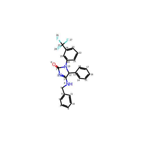 O=C1N=C(NCc2ccccc2)C(c2ccccc2)N1c1cccc(C(F)(F)F)c1